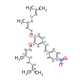 CC(C)=CCCC(C)=CCOc1ccc(C=Cc2ccc([N+](=O)[O-])cc2)cc1OCC=C(C)CCC=C(C)C